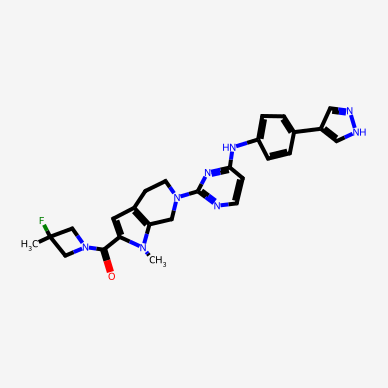 Cn1c(C(=O)N2CC(C)(F)C2)cc2c1CN(c1nccc(Nc3ccc(-c4cn[nH]c4)cc3)n1)CC2